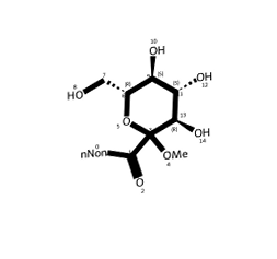 CCCCCCCCCC(=O)C1(OC)O[C@H](CO)[C@@H](O)[C@H](O)[C@H]1O